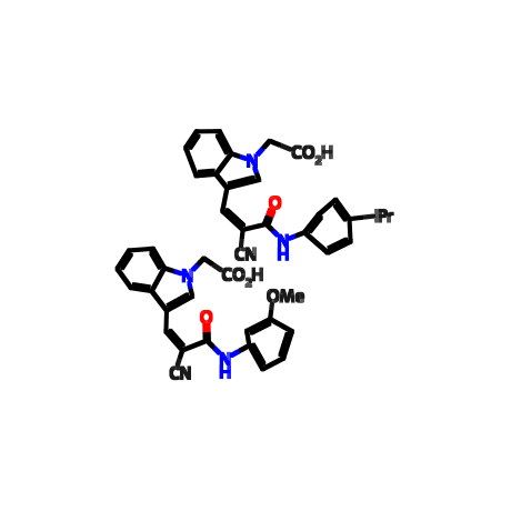 CC(C)c1ccc(NC(=O)C(C#N)=Cc2cn(CC(=O)O)c3ccccc23)cc1.COc1cccc(NC(=O)C(C#N)=Cc2cn(CC(=O)O)c3ccccc23)c1